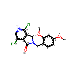 COc1ccc(CN2Cc3c(Cl)ncc(Br)c3C2=O)c(OC)c1